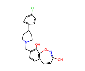 OC1=NOc2c(ccc(CN3CCC(c4ccc(Cl)cc4)CC3)c2O)C=C1